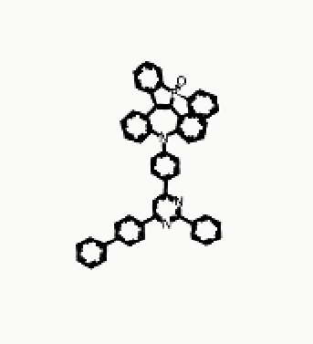 O=[P@]1(c2ccccc2)C2=C(c3ccccc3N(c3ccc(-c4cc(-c5ccc(-c6ccccc6)cc5)nc(-c5ccccc5)n4)cc3)c3ccccc32)c2ccccc21